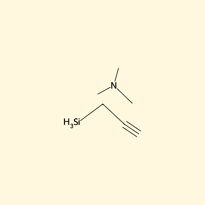 C#CC[SiH3].CN(C)C